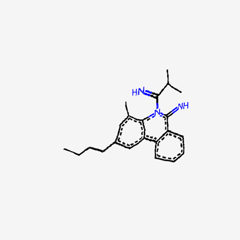 CCCCc1cc(C)c2c(c1)c1ccccc1c(=N)n2C(=N)C(C)C